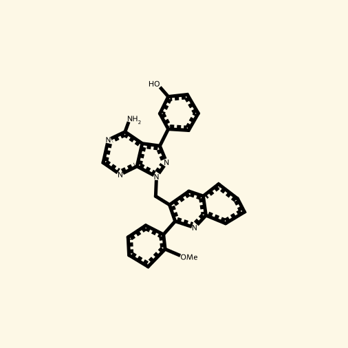 COc1ccccc1-c1nc2ccccc2cc1Cn1nc(-c2cccc(O)c2)c2c(N)ncnc21